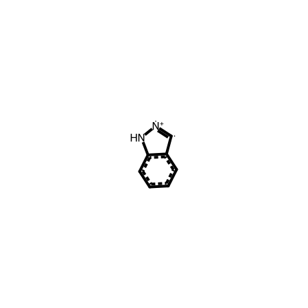 [C]1=[N+]Nc2ccccc21